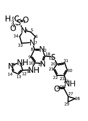 CS(=O)(=O)N1CCN(c2cc(Nc3ccn[nH]3)nc(Sc3ccc(NC(=O)C4CC4)cc3)n2)CC1